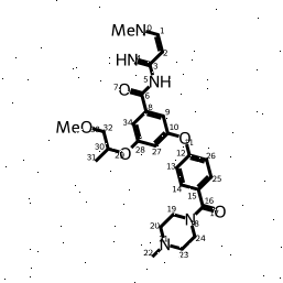 CN/C=C\C(=N)NC(=O)c1cc(Oc2ccc(C(=O)N3CCN(C)CC3)cc2)cc(OC(C)COC)c1